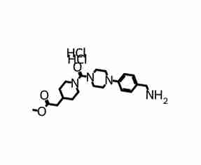 COC(=O)CC1CCN(C(=O)N2CCN(c3ccc(CN)cc3)CC2)CC1.Cl.Cl